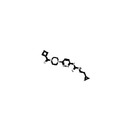 O=C(NCCC1CC1)Oc1ccc(N2CCN(C(=O)C3CCC3)CC2)nn1